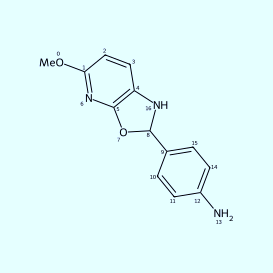 COc1ccc2c(n1)OC(c1ccc(N)cc1)N2